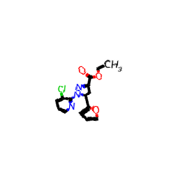 CCOC(=O)C1=NN(c2ncccc2Cl)C(c2ccco2)C1